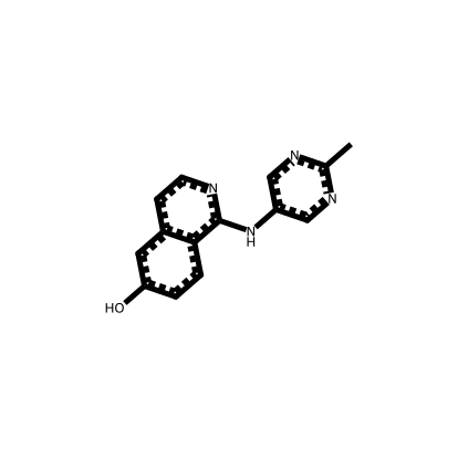 Cc1ncc(Nc2nccc3cc(O)ccc23)cn1